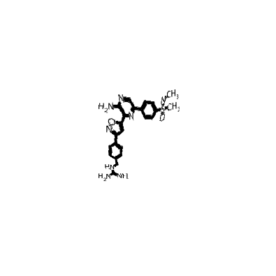 CN=S(C)(=O)c1ccc(-c2cnc(N)c(-c3cc(-c4ccc(CNC(=N)N)cc4)no3)n2)cc1